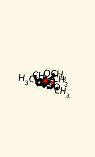 CO[C@H]1CC[C@]2(CC1)Cc1ccc(C(C)C)cc1C21NC(=O)N(C(C)C)C1=O